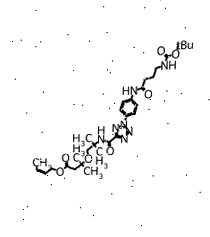 C/C=C\COC(=O)CC(C)(C)OCC(C)(C)NC(=O)c1nnn(-c2ccc(NC(=O)CCCNC(=O)OC(C)(C)C)cc2)n1